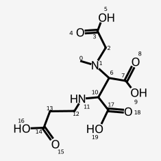 CN(CC(=O)O)C(C(=O)O)C(NCCC(=O)O)C(=O)O